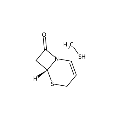 CS.O=C1C[C@H]2SCC=CN12